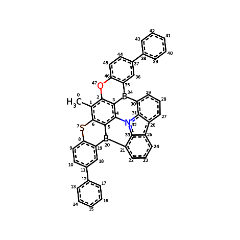 Cc1c2c3c4c5c1Sc1ccc(-c6ccccc6)cc1B5c1cccc5c6cccc(c6n-4c15)B3c1cc(-c3ccccc3)ccc1O2